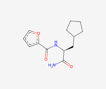 NC(=O)[C@H](CC1CCCC1)NC(=O)c1ccco1